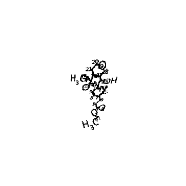 CCOC(=O)CCc1ccc(N2C(=O)N(C)C3=C(COCC3)C2O)nc1